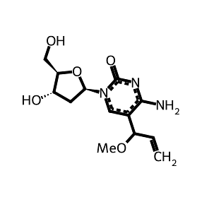 C=CC(OC)c1cn([C@H]2C[C@H](O)[C@@H](CO)O2)c(=O)nc1N